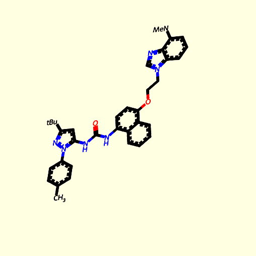 CNc1cccc2c1ncn2CCOc1ccc(NC(=O)Nc2cc(C(C)(C)C)nn2-c2ccc(C)cc2)c2ccccc12